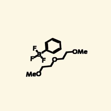 COCCOCCOC.F[B-](F)(F)c1ccccc1